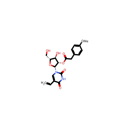 C=Cc1cn([C@@H]2O[C@H](CO)[C@@H](O)[C@@H]2OC(=O)Cc2ccc(OC)cc2)c(=O)[nH]c1=O